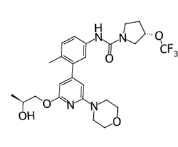 Cc1ccc(NC(=O)N2CC[C@H](OC(F)(F)F)C2)cc1-c1cc(OC[C@H](C)O)nc(N2CCOCC2)c1